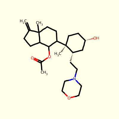 C=C1CCC2C(OC(C)=O)C([C@@]3(C)CC[C@H](O)C[C@@H]3CCN3CCOCC3)CCC12C